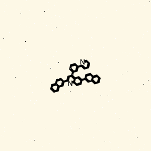 c1ccc(-c2cccc(-c3cc(-c4ccc5ccccc5c4)nc4ccc(-c5ccc6ccccc6c5)cc34)c2)nc1